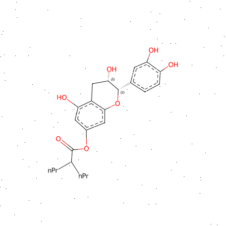 CCCC(CCC)C(=O)Oc1cc(O)c2c(c1)O[C@@H](c1ccc(O)c(O)c1)[C@@H](O)C2